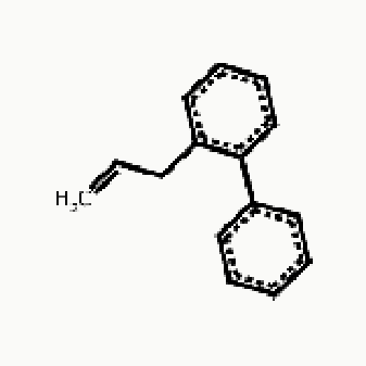 C=CCc1ccccc1-c1cc[c]cc1